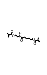 C=C(C)C(=O)OCCCCC(=O)NCCOC(=O)C(=C)C